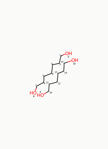 OCCCCCCCO.OCCCCCCO